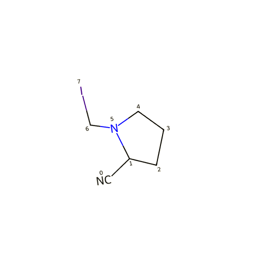 N#CC1CCCN1CI